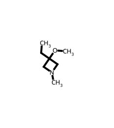 CCC1(OC)CN(C)C1